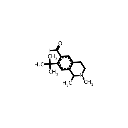 CC1c2cc(C(C)(C)C)c(C(=O)I)cc2CCN1C